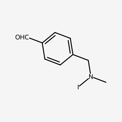 CN(I)Cc1ccc(C=O)cc1